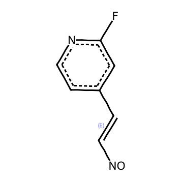 O=N/C=C/c1ccnc(F)c1